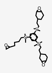 C[Si](C)(CCCCC1CO1)c1cc([Si](C)(C)CCC2CCC3OC3C2)cc([Si](C)(C)CCC2CCC3OC3C2)c1